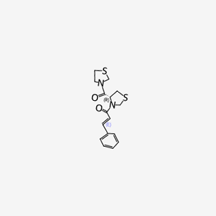 O=C([C@@H]1CSCN1C(=O)/C=C/c1ccccc1)N1CCSC1